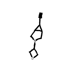 C#CC1C2CN(C3COC3)CC12